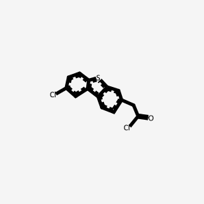 O=C(Cl)Cc1ccc2c(c1)sc1ccc(Cl)cc12